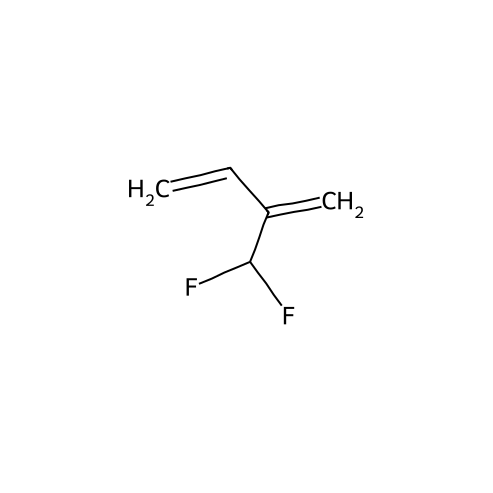 C=CC(=C)C(F)F